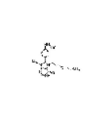 CCCOCCCn1c(-c2ccc(N)cc2)c(C#N)c2nc[nH]c(=O)c21.Cl